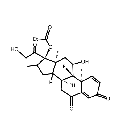 CCC(=O)O[C@]1(C(=O)CO)C(C)C[C@H]2[C@@H]3CC(=O)C4=CC(=O)C=C[C@]4(C)[C@@]3(F)C(O)C[C@@]21C